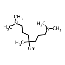 CN(C)CCC[C](C)([Ga])CCCN(C)C